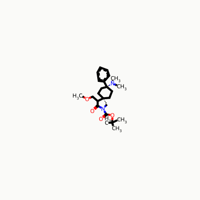 COCC1C(=O)N(C(=O)OC(C)(C)C)C[C@]12CC[C@@](c1ccccc1)(N(C)C)CC2